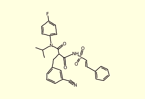 CC(C)N(C(=O)C(Cc1cccc(C#N)c1)C(=O)NS(=O)(=O)/C=C/c1ccccc1)c1ccc(F)cc1